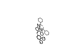 COc1ccc(/C=C2/O/C(=N/C(C)C3CCCCC3)N(C(C)C3CCCCC3)C2=O)cc1OC